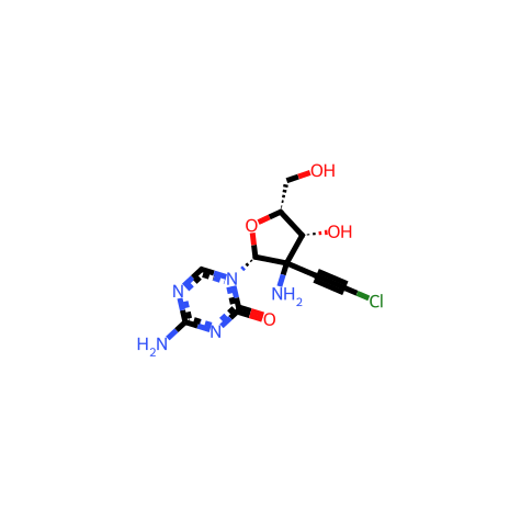 Nc1ncn([C@@H]2O[C@H](CO)[C@H](O)C2(N)C#CCl)c(=O)n1